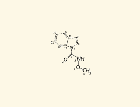 CONC(=O)n1ccc2ccccc21